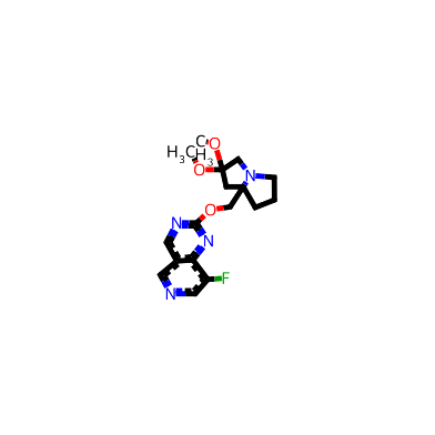 COC1(OC)CN2CCCC2(COc2ncc3cncc(F)c3n2)C1